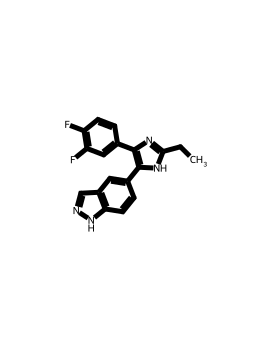 CCc1nc(-c2ccc(F)c(F)c2)c(-c2ccc3[nH]ncc3c2)[nH]1